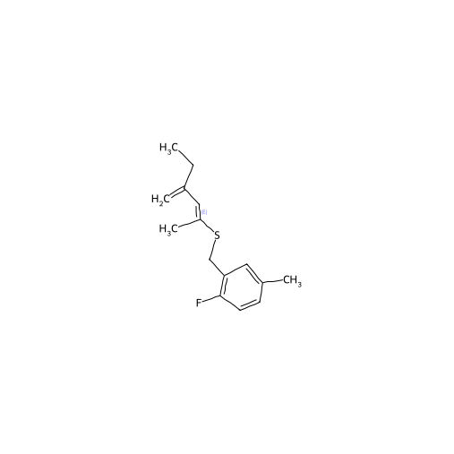 C=C(/C=C(\C)SCc1cc(C)ccc1F)CC